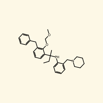 CCC(C)(Pc1ccccc1CN1CCCCC1)c1cccc(Cc2ccccc2)c1OCOC